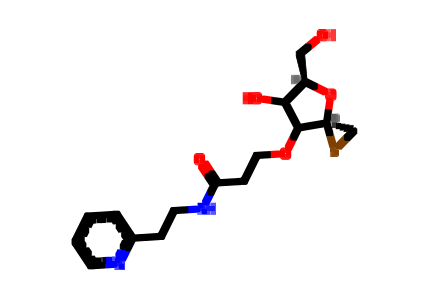 O=C(CCOC1C(O)[C@@H](CO)O[C@]12CS2)NCCc1ccccn1